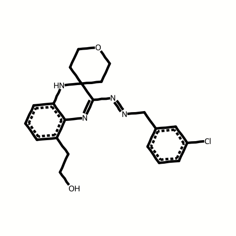 OCCc1cccc2c1N=C(N=NCc1cccc(Cl)c1)C1(CCOCC1)N2